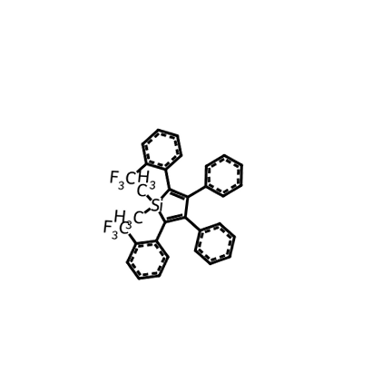 C[Si]1(C)C(c2ccccc2C(F)(F)F)=C(c2ccccc2)C(c2ccccc2)=C1c1ccccc1C(F)(F)F